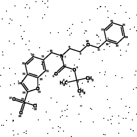 CC(C)(C)OC(=O)N(CCOCc1ccccc1)Cc1ccc2cc(S(=O)(=O)Cl)oc2c1